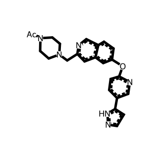 CC(=O)N1CCN(Cc2cc3cc(Oc4ccc(-c5ccn[nH]5)cn4)ccc3cn2)CC1